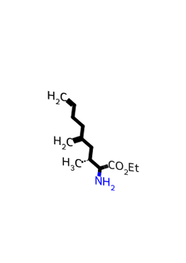 C=CCCC(=C)C[C@@H](C)C(N)C(=O)OCC